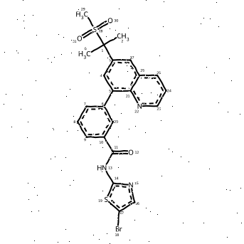 CC(C)(c1cc(-c2cccc(C(=O)Nc3ncc(Br)s3)c2)c2ncccc2c1)S(C)(=O)=O